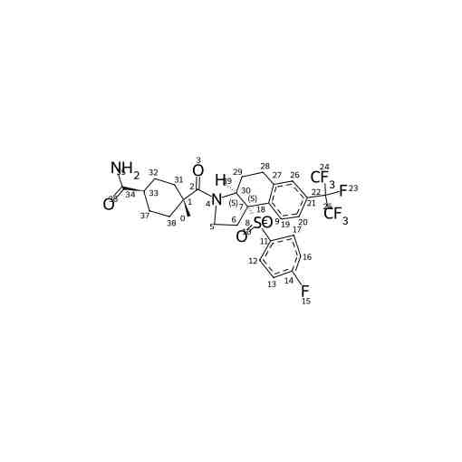 C[C@]1(C(=O)N2CC[C@]3(S(=O)(=O)c4ccc(F)cc4)c4ccc(C(F)(C(F)(F)F)C(F)(F)F)cc4CC[C@H]23)CC[C@H](C(N)=O)CC1